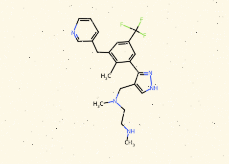 CNCCN(C)Cc1c[nH]nc1-c1cc(C(F)(F)F)cc(Cc2cccnc2)c1C